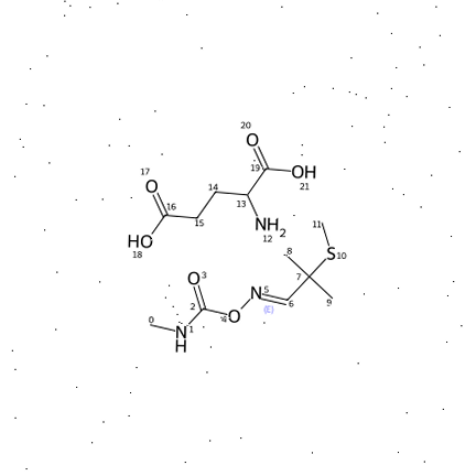 CNC(=O)O/N=C/C(C)(C)SC.NC(CCC(=O)O)C(=O)O